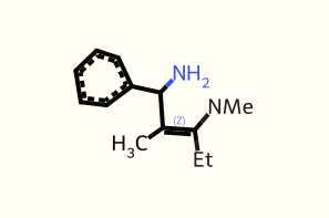 CC/C(NC)=C(\C)C(N)c1ccccc1